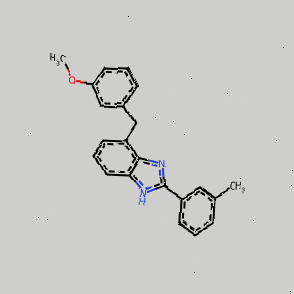 COc1cccc(Cc2cccc3[nH]c(-c4cccc(C)c4)nc23)c1